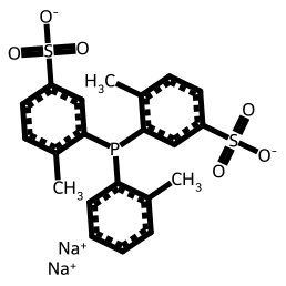 Cc1ccccc1P(c1cc(S(=O)(=O)[O-])ccc1C)c1cc(S(=O)(=O)[O-])ccc1C.[Na+].[Na+]